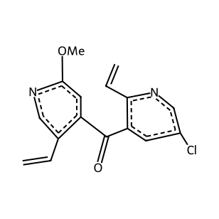 C=Cc1cnc(OC)cc1C(=O)c1cc(Cl)cnc1C=C